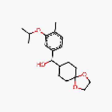 Cc1ccc(C(O)C2CCC3(CC2)OCCO3)cc1OC(C)C